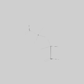 C=C(F)C(F)(F)OC(F)(F)C(=C)F